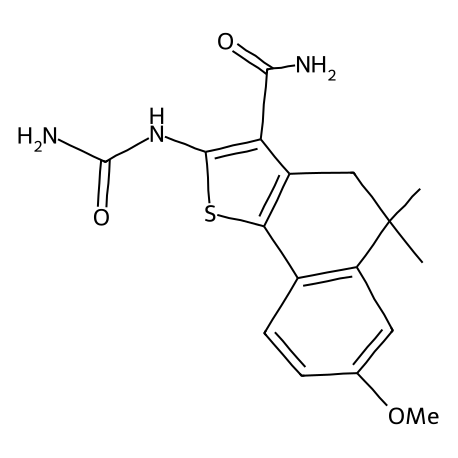 COc1ccc2c(c1)C(C)(C)Cc1c-2sc(NC(N)=O)c1C(N)=O